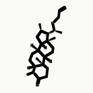 C=CCO[C@H](C)[C@H]1[C@@H](C)C[C@H]2[C@@H]3CC[C@H]4N(C)C(=O)CC[C@]4(C)[C@H]3CC[C@]12C